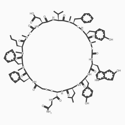 CCCC[C@H]1C(=O)N(C)CC(=O)N[C@@H](CC(=O)O)C(=O)N[C@@H](C(C)C)C(=O)N(C)[C@@H](Cc2ccccc2)CN[C@@H](Cc2ccc(O)cc2)C(=O)N(C)CC(=O)N[C@@H](Cc2c[nH]c3ccc(O)cc23)C(=O)N[C@@H](Cc2ccc(O)cc2)C(=O)N[C@@H](CC(C)C)C(=O)N[C@H](C(=O)NCC(N)=O)CSCC(=O)N[C@@H](Cc2ccccc2)C(=O)N(C)[C@@H](Cc2ccccc2)C(=O)N1C